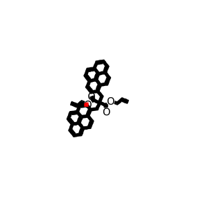 C=CCOC(=O)C(Cc1ccc2ccc3cccc4ccc1c2c34)(Cc1ccc2ccc3cccc4ccc1c2c34)C(=O)OCC=C